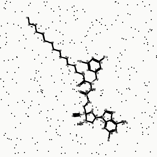 C#C[C@]1(CO[PH](=O)N[C@@H](Cc2cc(F)cc(F)c2)C(=O)OCCCCCCCCCCCCCC)O[C@@H](n2cnc3c(N)nc(F)nc32)C[C@@H]1O